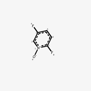 [O-][n+]1cc(F)ccc1F